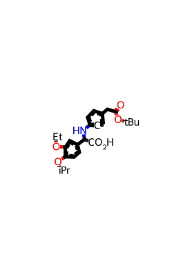 CCOc1cc(C(Nc2ccc(CC(=O)OC(C)(C)C)cc2)C(=O)O)ccc1OC(C)C